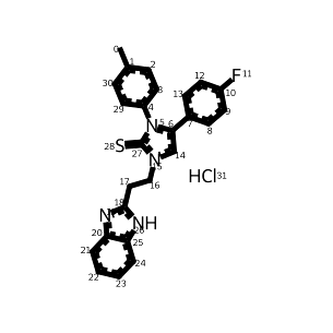 Cc1ccc(-n2c(-c3ccc(F)cc3)cn(CCc3nc4ccccc4[nH]3)c2=S)cc1.Cl